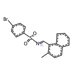 Cc1ccc2ccccc2c1/C=N/S(=O)(=O)c1ccc(Br)cc1